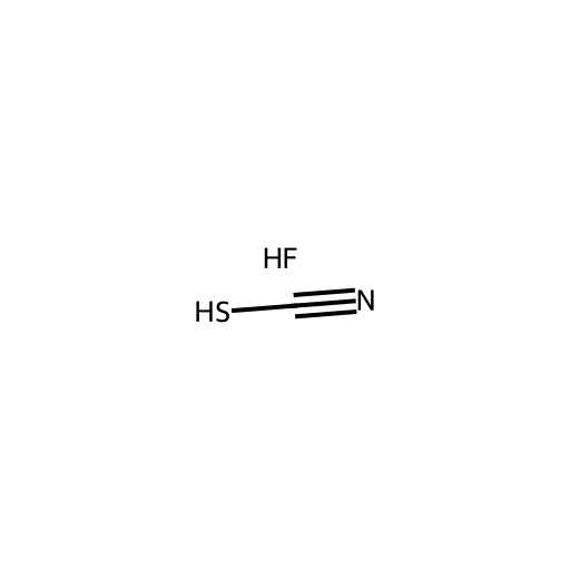 F.N#CS